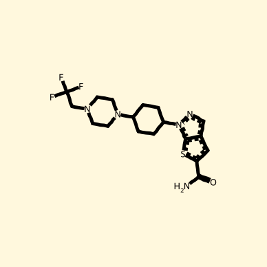 NC(=O)c1cc2cnn(C3CCC(N4CCN(CC(F)(F)F)CC4)CC3)c2s1